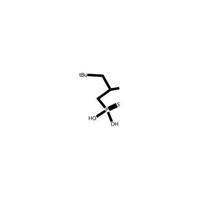 CC(CC(C)(C)C)CP(O)(O)=S